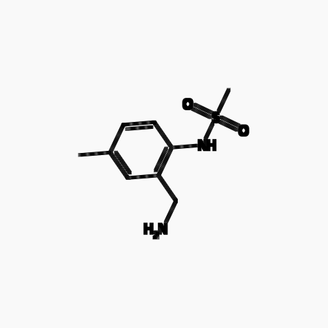 Cc1ccc(NS(C)(=O)=O)c(CN)c1